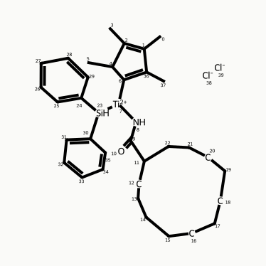 CC1=C(C)C(C)[C]([Ti+2]([NH]C(=O)C2CCCCCCCCCCC2)[SiH](c2ccccc2)c2ccccc2)=C1C.[Cl-].[Cl-]